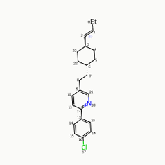 CC/C=C/[C@H]1CC[C@H](CCc2ccc(-c3ccc(Cl)cc3)nc2)CC1